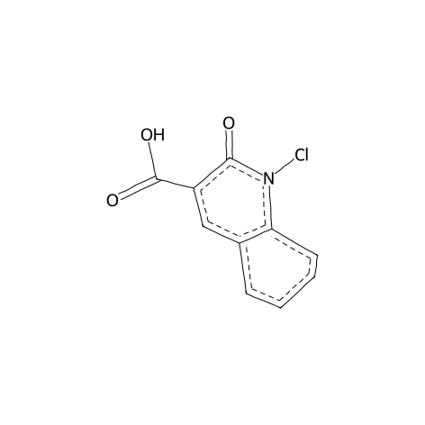 O=C(O)c1cc2ccccc2n(Cl)c1=O